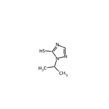 CC(C)n1ncnc1S